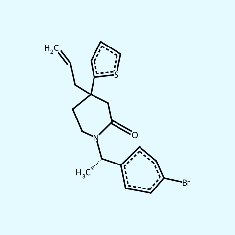 C=CCC1(c2cccs2)CCN([C@@H](C)c2ccc(Br)cc2)C(=O)C1